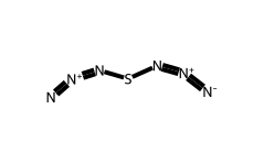 [N-]=[N+]=NSN=[N+]=[N-]